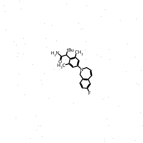 Cc1cc(N2CC=Cc3cc(F)ccc3C2)cc(C)c1C(C(N)=O)C(C)(C)C